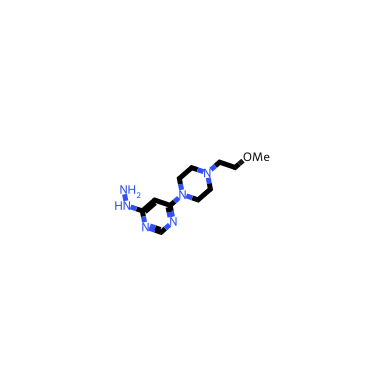 COCCN1CCN(c2cc(NN)ncn2)CC1